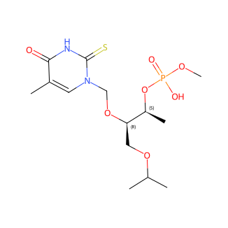 COP(=O)(O)O[C@@H](C)[C@@H](COC(C)C)OCn1cc(C)c(=O)[nH]c1=S